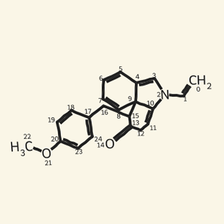 C=CN1C=C2C=CC=CC23C1=CCC(=O)C3Cc1ccc(OC)cc1